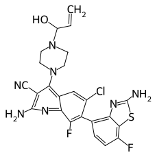 C=CC(O)N1CCN(c2c(C#N)c(N)nc3c(F)c(-c4ccc(F)c5sc(N)nc45)c(Cl)cc23)CC1